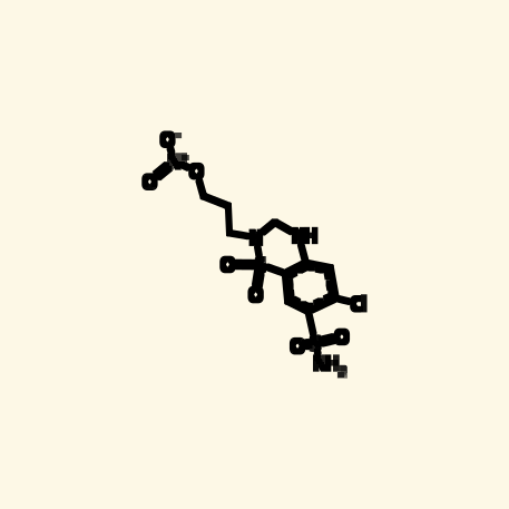 NS(=O)(=O)c1cc2c(cc1Cl)NCN(CCCO[N+](=O)[O-])S2(=O)=O